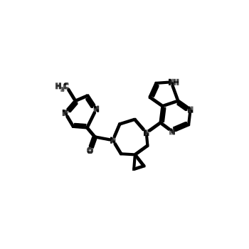 Cc1cnc(C(=O)N2CCN(c3ncnc4[nH]ccc34)CC3(CC3)C2)cn1